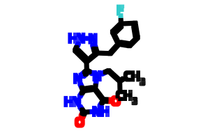 CC(C)Cn1c(-c2c[nH]nc2Cc2cccc(F)c2)nc2[nH]c(=O)[nH]c(=O)c21